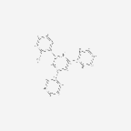 [2H]c1cccnc1-c1cc(-c2ccccc2)cc(-c2ccccn2)n1